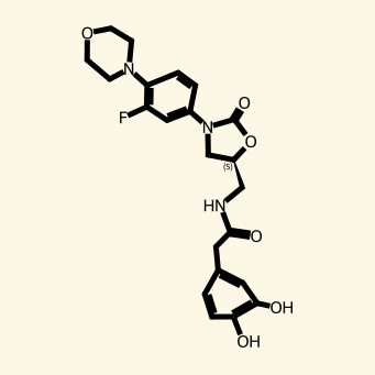 O=C(Cc1ccc(O)c(O)c1)NC[C@H]1CN(c2ccc(N3CCOCC3)c(F)c2)C(=O)O1